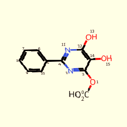 O=C(O)Oc1nc(-c2ccccc2)nc(O)c1O